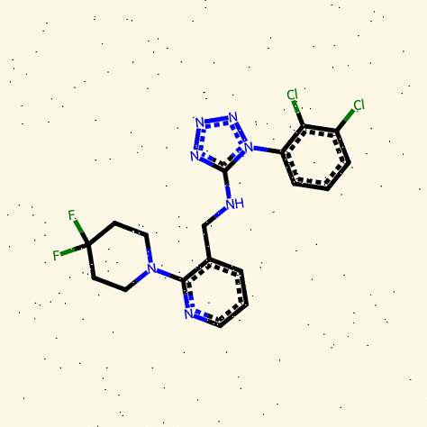 FC1(F)CCN(c2ncccc2CNc2nnnn2-c2cccc(Cl)c2Cl)CC1